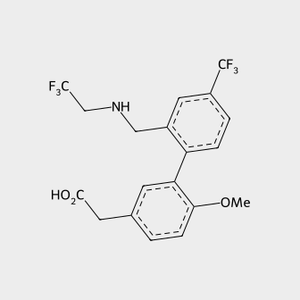 COc1ccc(CC(=O)O)cc1-c1ccc(C(F)(F)F)cc1CNCC(F)(F)F